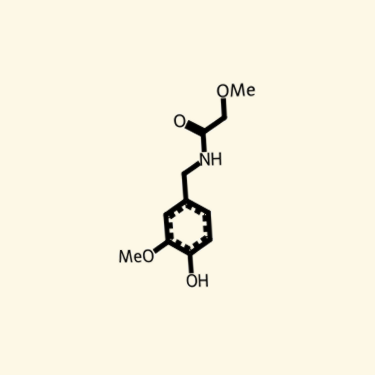 COCC(=O)NCc1ccc(O)c(OC)c1